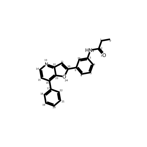 CCC(=O)Nc1cccc(-c2cc3nccc(-c4ccccc4)c3o2)c1